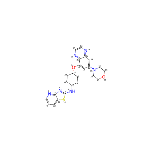 c1cnc2nc(N[C@H]3CC[C@@H](Oc4cc(N5CCOCC5)cc5nccnc45)CC3)sc2c1